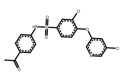 CC(=O)c1ccc(NS(=O)(=O)c2ccc(Oc3cncc(Cl)c3)c(Cl)c2)cc1